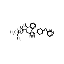 CC(C)(C)OC(=O)N1Cc2nnc([C@H]3CC[C@H](Oc4cccnn4)CC3)n2-c2ccccc2C1Cl